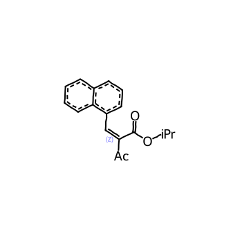 CC(=O)/C(=C/c1cccc2ccccc12)C(=O)OC(C)C